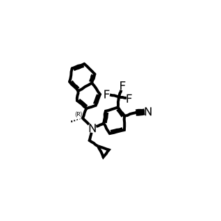 C[C@H](c1ccc2ccccc2c1)N(CC1CC1)c1ccc(C#N)c(C(F)(F)F)c1